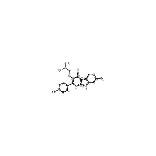 CN(C)CCn1c(-c2ccc(Cl)cc2)nc2[nH]c3cc(Br)ccc3c2c1=O